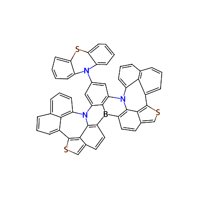 c1ccc2c(c1)Sc1ccccc1N2c1cc2c3c(c1)-n1c4cccc5cccc(c6scc7ccc(c1c76)B3c1ccc3csc6c7cccc8cccc(c87)n-2c1c36)c54